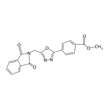 COC(=O)c1ccc(-c2nnc(CN3C(=O)c4ccccc4C3=O)o2)cc1